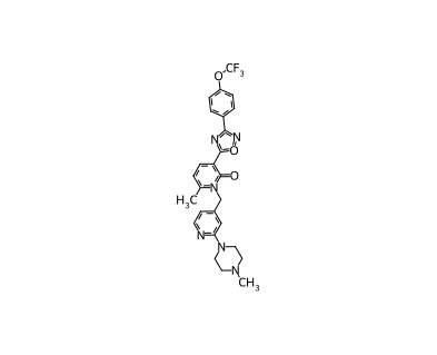 Cc1ccc(-c2nc(-c3ccc(OC(F)(F)F)cc3)no2)c(=O)n1Cc1ccnc(N2CCN(C)CC2)c1